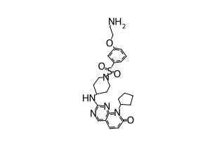 NCCOc1cccc(S(=O)(=O)N2CCC(Nc3ncc4ccc(=O)n(C5CCCC5)c4n3)CC2)c1